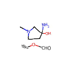 CC(C)(C)OC=O.CN1CCC(N)(O)C1